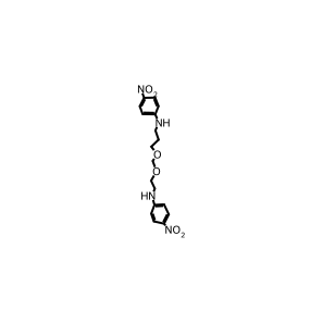 O=[N+]([O-])c1ccc(NCCCOCOCCNc2ccc([N+](=O)[O-])cc2)cc1